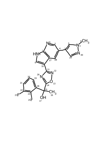 Cn1cc(-c2cnc3[nH]cc(-c4noc(C(C)(O)c5cccc(F)c5F)n4)c3c2)cn1